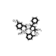 CCc1cccc(CC)c1N1[CH]([Ru-2]([Cl])=[CH]c2cc([N+](=O)[O-])ccc2OC(C)C)C(C)(c2ccccc2)CC1(C)C